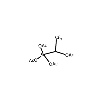 CC(=O)OC(C(F)(F)F)[Si](OC(C)=O)(OC(C)=O)OC(C)=O